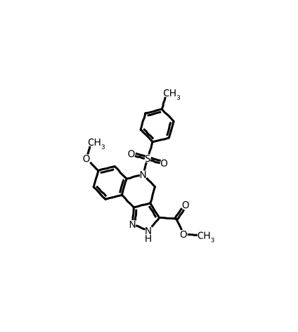 COC(=O)c1[nH]nc2c1CN(S(=O)(=O)c1ccc(C)cc1)c1cc(OC)ccc1-2